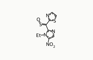 CCn1c([N+](=O)[O-])cnc1C(=S=O)c1nccs1